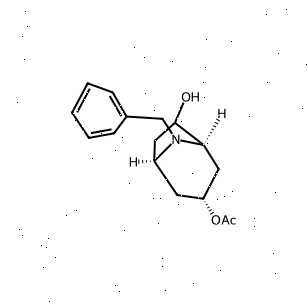 CC(=O)O[C@@H]1C[C@H]2CC(O)[C@@H](C1)N2Cc1ccccc1